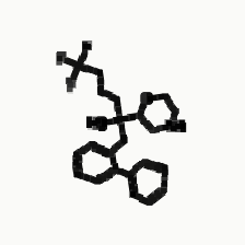 OC(CCCC(F)(F)F)(Cc1ccccc1-c1ccccc1)C1CNCCO1